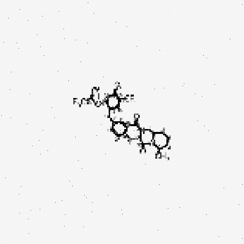 CC1CCCC2CN(C(=O)c3cc(Cc4cc(C(F)(F)F)c(=O)[nH][n+]4OC(=O)C(F)(F)F)ccc3F)CC(=O)N12